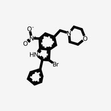 O=[N+]([O-])c1cc(CN2CCOCC2)cc2c(Br)c(-c3ccccc3)[nH]c12